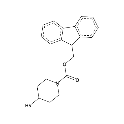 O=C(OCC1c2ccccc2-c2ccccc21)N1CCC(S)CC1